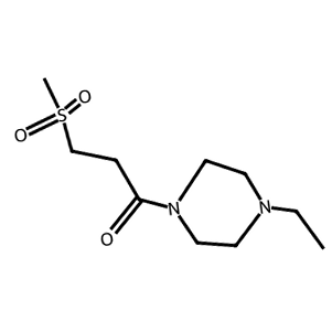 CCN1CCN(C(=O)CCS(C)(=O)=O)CC1